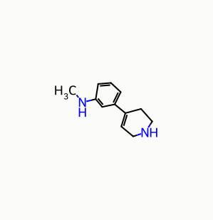 CNc1cccc(C2=CCNCC2)c1